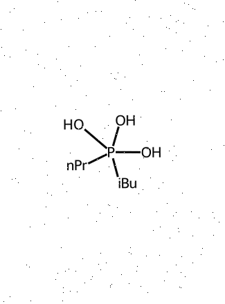 CCCP(O)(O)(O)C(C)CC